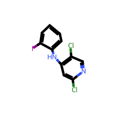 Clc1cc(Nc2ccccc2I)c(Cl)cn1